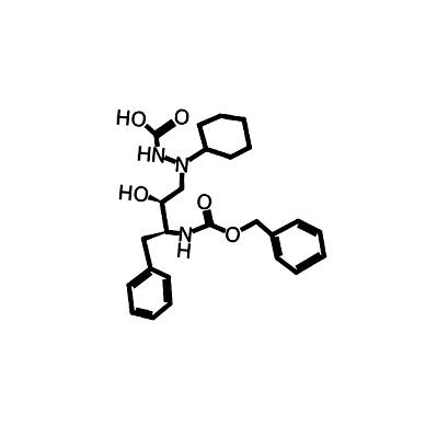 O=C(O)NN(C[C@H](O)[C@H](Cc1ccccc1)NC(=O)OCc1ccccc1)C1CCCCC1